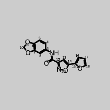 O=C(Nc1ccc2c(c1)OCO2)c1cc(-c2ccco2)on1